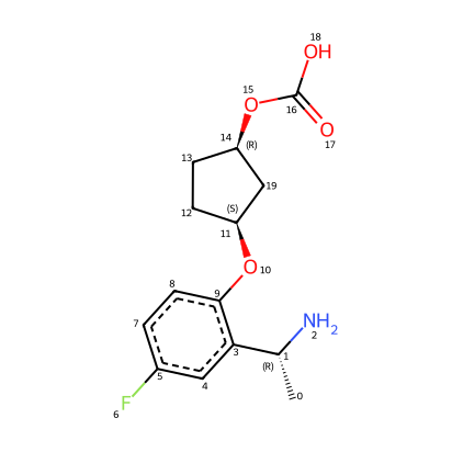 C[C@@H](N)c1cc(F)ccc1O[C@H]1CC[C@@H](OC(=O)O)C1